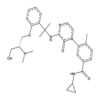 Cc1ccc(C(=O)NC2CC2)cc1-n1ccnc(NC(C)(C)c2ccccc2OC[C@@H](CO)N(C)C)c1=O